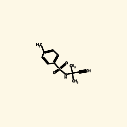 C#CC(C)(C)NS(=O)(=O)c1ccc(C)cc1